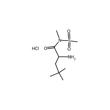 CN(C(=O)C(N)CC(C)(C)C)S(C)(=O)=O.Cl